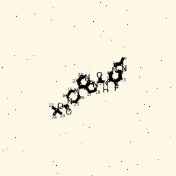 Cc1cn2cc(NC(=O)N3CCc4c(N5CCN(C(=O)OC(C)(C)C)CC5)ccnc43)c(F)cc2n1